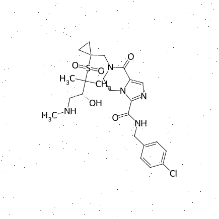 CNC[C@@H](O)C(C)(C)S(=O)(=O)C1(CN2CCn3c(cnc3C(=O)NCc3ccc(Cl)cc3)C2=O)CC1